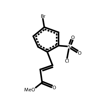 COC(=O)/C=C/c1ccc(Br)cc1S(=O)(=O)Cl